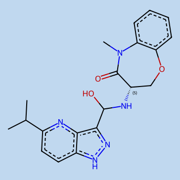 CC(C)c1ccc2[nH]nc(C(O)N[C@H]3COc4ccccc4N(C)C3=O)c2n1